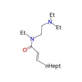 CCCCCCC/C=C/C(=O)N(CC)CCN(CC)CC